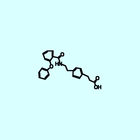 O=C(O)CCc1ccc(CCNC(=O)c2ccccc2Oc2ccccc2)cc1